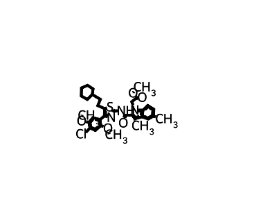 COC(=O)Cn1c(C(=O)Nc2nc(-c3cc(OC)c(Cl)cc3OC)c(CCC3CCCCC3)s2)c(C)c2cc(C)ccc21